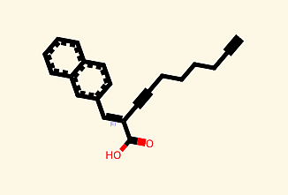 C#CCCCCC#C/C(=C\c1ccc2ccccc2c1)C(=O)O